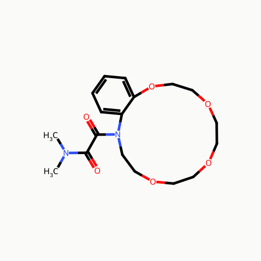 CN(C)C(=O)C(=O)N1CCOCCOCCOCCOc2ccccc21